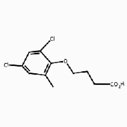 Cc1cc(Cl)cc(Cl)c1OCCCC(=O)O